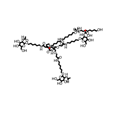 CC(=O)NC1C(OCCCCCCNC(=O)CCOCC(COCCC(=O)NCCCCCCOC2OC(CO)C(O)C(O)C2NC(C)=O)(COCCC(=O)NCCCCCCOC2OC(CO)C(O)C(O)C2NC(C)=O)NC(=O)C2CCCN2C(=O)CCCC(=O)NCCCCCCOP(=O)(S)OCCCCCCCCO)OC(CO)C(O)C1O